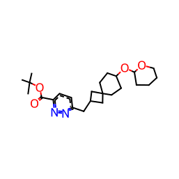 CC(C)(C)OC(=O)c1ccc(CC2CC3(CCC(OC4CCCCO4)CC3)C2)nn1